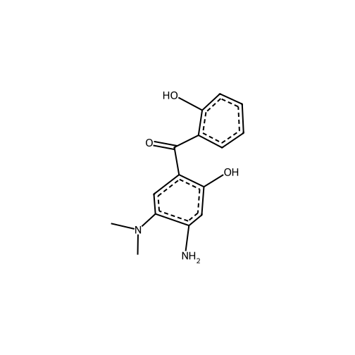 CN(C)c1cc(C(=O)c2ccccc2O)c(O)cc1N